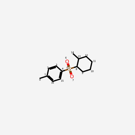 Cc1ccc(S(=O)(=O)C2CCCCC2C)cc1